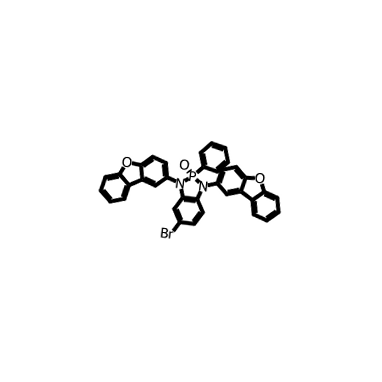 O=P1(c2ccccc2)N(c2ccc3oc4ccccc4c3c2)c2ccc(Br)cc2N1c1ccc2oc3ccccc3c2c1